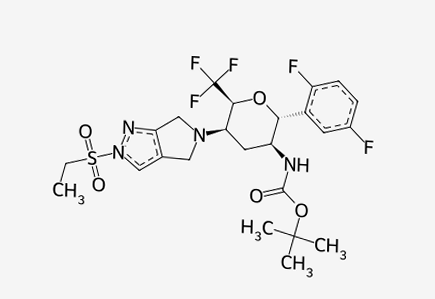 CCS(=O)(=O)n1cc2c(n1)CN([C@@H]1C[C@H](NC(=O)OC(C)(C)C)[C@@H](c3cc(F)ccc3F)O[C@@H]1C(F)(F)F)C2